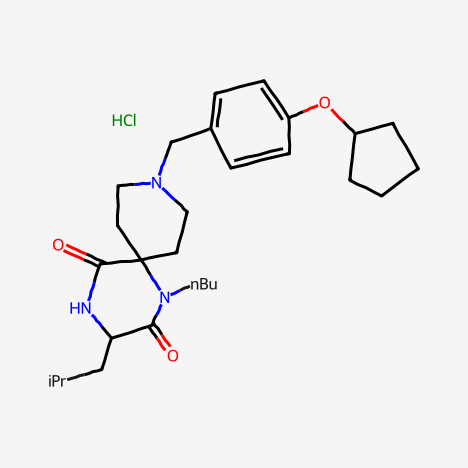 CCCCN1C(=O)C(CC(C)C)NC(=O)C12CCN(Cc1ccc(OC3CCCC3)cc1)CC2.Cl